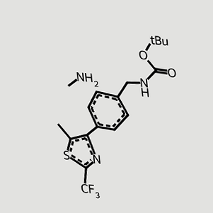 CN.Cc1sc(C(F)(F)F)nc1-c1ccc(CNC(=O)OC(C)(C)C)cc1